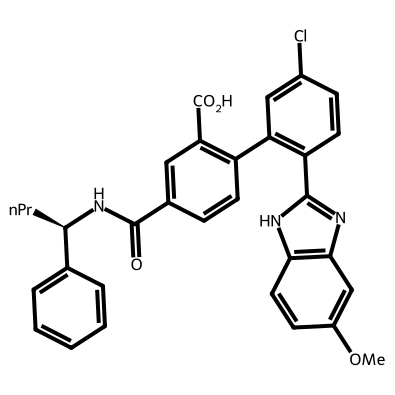 CCC[C@@H](NC(=O)c1ccc(-c2cc(Cl)ccc2-c2nc3cc(OC)ccc3[nH]2)c(C(=O)O)c1)c1ccccc1